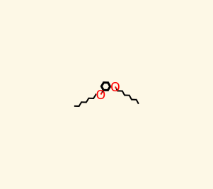 CCCCCCCOc1cccc(OCCCCCCC)c1